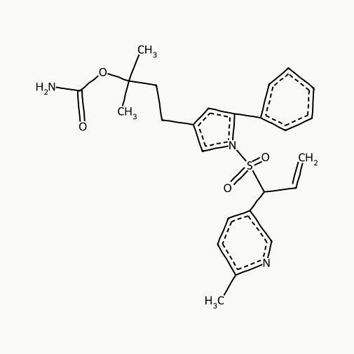 C=CC(c1ccc(C)nc1)S(=O)(=O)n1cc(CCC(C)(C)OC(N)=O)cc1-c1ccccc1